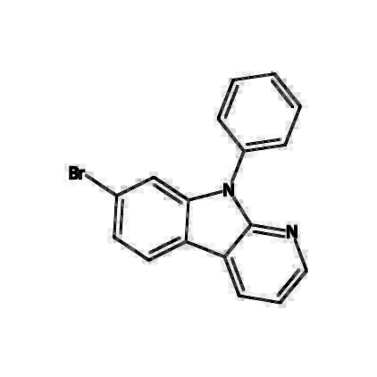 Brc1ccc2c3cccnc3n(-c3ccccc3)c2c1